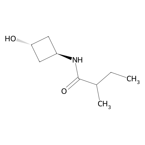 CCC(C)C(=O)N[C@H]1C[C@H](O)C1